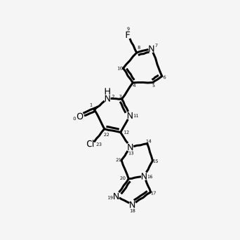 O=c1[nH]c(-c2ccnc(F)c2)nc(N2CCn3cnnc3C2)c1Cl